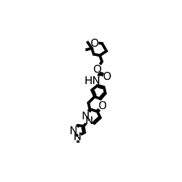 Cn1cc(-n2ccc(=O)c(Cc3cccc(NC(=O)OCC4CCOC(C)(C)C4)c3)n2)cn1